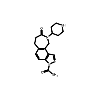 NC(=O)n1ncc2c3c(ccc21)C[CH]C(=O)N(C1CCNCC1)C3